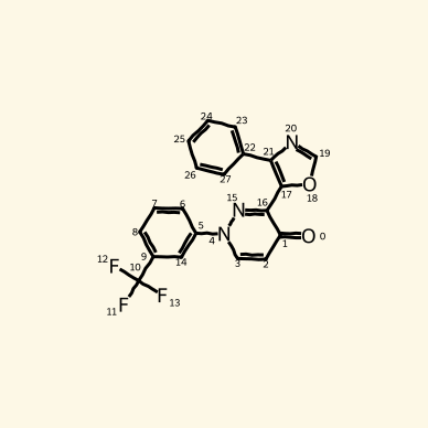 O=c1ccn(-c2cccc(C(F)(F)F)c2)nc1-c1ocnc1-c1ccccc1